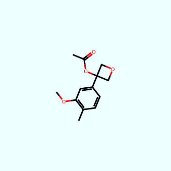 COc1cc(C2(OC(C)=O)COC2)ccc1C